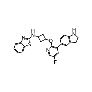 Fc1cnc(OC2CC(Nc3nc4ccccc4s3)C2)c(-c2ccc3c(c2)CCN3)c1